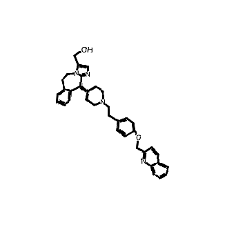 OCc1cnc2n1CCc1ccccc1C2=C1CCN(CCc2ccc(OCc3ccc4ccccc4n3)cc2)CC1